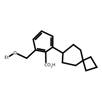 CCOCc1cccc(C2CCC3(CCC3)CC2)c1C(=O)O